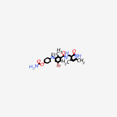 CCN(c1cc(Br)cc(C(=O)NCc2c(C)cc(C)[nH]c2=O)c1C)C1CCC(OC(N)=O)CC1